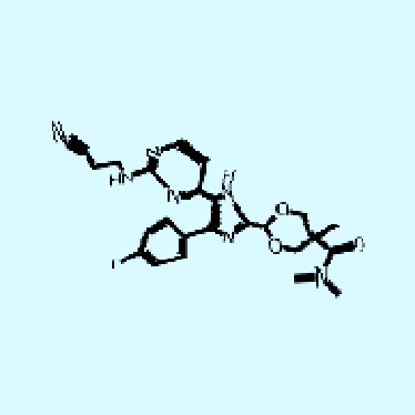 CN(C)C(=O)C1(C)COC(c2nc(-c3ccc(F)cc3)c(-c3ccnc(NCCC#N)n3)[nH]2)OC1